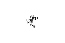 CCS(=O)(=O)Nc1cc(CNCC(O)C(Cc2ccccc2)NC(=O)c2cccc(C(=O)N(C)Cc3nc(C)cs3)c2)cc(C(=O)OC)c1